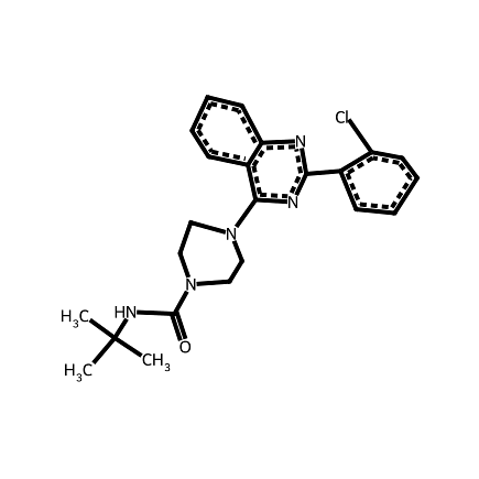 CC(C)(C)NC(=O)N1CCN(c2nc(-c3ccccc3Cl)nc3ccccc23)CC1